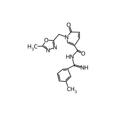 Cc1cccc(C(=N)NC(=O)c2ccc(=O)n(Cc3nnc(C)o3)c2)c1